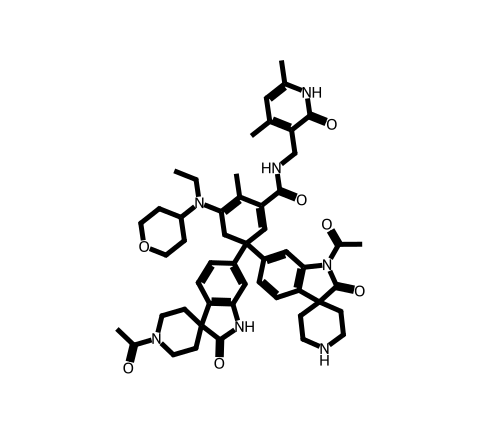 CCN(C1=C(C)C(C(=O)NCc2c(C)cc(C)[nH]c2=O)=CC(c2ccc3c(c2)NC(=O)C32CCN(C(C)=O)CC2)(c2ccc3c(c2)N(C(C)=O)C(=O)C32CCNCC2)C1)C1CCOCC1